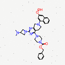 CN(C)C1CN(c2nc3c(c(N4CCN(C(=O)OCc5ccccc5)CC4)n2)CCN(c2cc(OO)cc4ccccc24)C3)C1